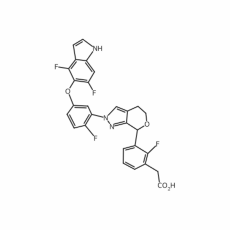 O=C(O)Cc1cccc(C2OCCc3cn(-c4cc(Oc5c(F)cc6[nH]ccc6c5F)ccc4F)nc32)c1F